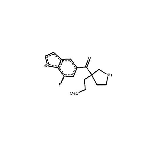 COCCC1(C(=O)c2cc(F)c3[nH]ccc3c2)CCNC1